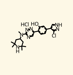 CN(c1ncc(-c2ccc(-c3c[nH]nc3Cl)cc2O)nn1)C1CC(C)(C)NC(C)(C)C1.Cl